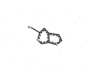 Brc1cc2ccsc2cn1